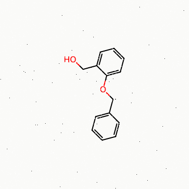 OCc1ccccc1O[CH]c1ccccc1